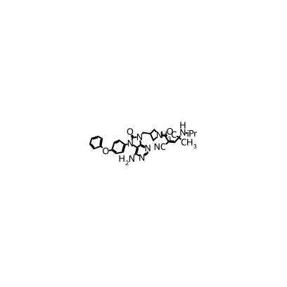 CC(C)NC(C)(C)/C=C(/C#N)C(=O)N1CC(Cn2c(=O)n(-c3ccc(Oc4ccccc4)cc3)c3c(N)ncnc32)C1